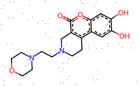 O=c1oc2cc(O)c(O)cc2c2c1CN(CCN1CCOCC1)CC2